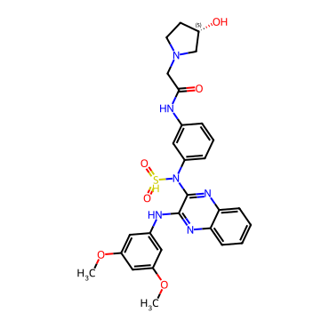 COc1cc(Nc2nc3ccccc3nc2N(c2cccc(NC(=O)CN3CC[C@H](O)C3)c2)[SH](=O)=O)cc(OC)c1